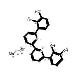 Oc1cccc(-c2cccc(-c3cccc(-c4cccc(O)c4O)n3)n2)c1O.[Cl-].[Cl-].[Cl-].[Mn+3]